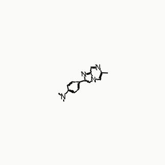 Cc1cn2cc(-c3ccc(N(C)C)cc3)nc2cn1